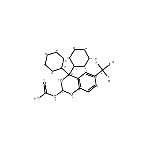 O=C(O)OC1Oc2ccc(C(F)(F)F)cc2C(C2CCCCC2)(C2CCCCC2)O1